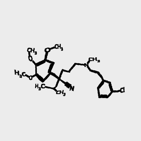 COc1cc([C@](C#N)(CCCN(C)CCc2cccc(Cl)c2)C(C)C)cc(OC)c1OC